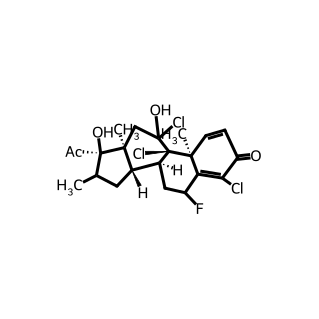 CC(=O)[C@@]1(O)C(C)C[C@H]2[C@@H]3CC(F)C4=C(Cl)C(=O)C=C[C@]4(C)[C@@]3(Cl)C(O)(Cl)C[C@@]21C